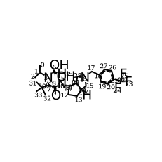 CC(C)N(C(=O)O)[C@H](C(=O)N[C@H]1CC[C@@H]2CN(Cc3ccc(C(F)(F)F)cc3)C[C@@H]21)C(C)(C)C